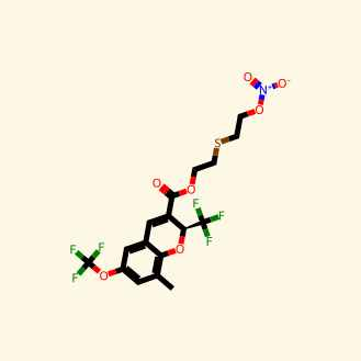 Cc1cc(OC(F)(F)F)cc2c1O[C@H](C(F)(F)F)C(C(=O)OCCSCCO[N+](=O)[O-])=C2